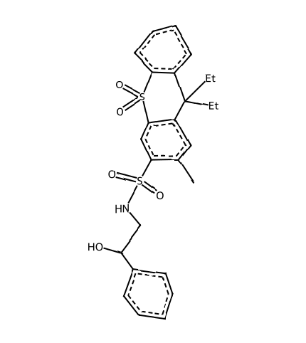 CCC1(CC)c2ccccc2S(=O)(=O)c2cc(S(=O)(=O)NCC(O)c3ccccc3)c(C)cc21